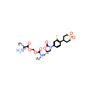 CC(=O)N(C[C@H]1CN(c2ccc(C3CCS(=O)(=O)CC3)c(F)c2)C(=O)O1)C(=O)OCOC(=O)[C@@H](N)C(C)C